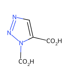 O=C(O)c1cnnn1C(=O)O